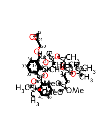 CO[Si](CC[Si](C)(O[SiH](C)O[Si](C)(C)O[Si](C)(CCCOCC1CO1)O[Si](O[Si](C)(C)C)(c1ccccc1)c1ccccc1)O[Si](C)(C)C)(OC)OC